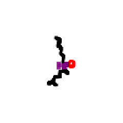 CCCCCCC[PH](=O)C(C)CCCC(C)C